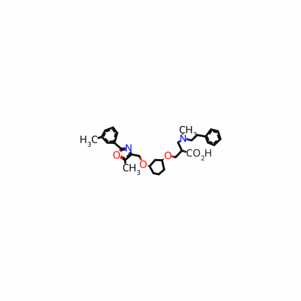 Cc1cccc(-c2nc(CO[C@H]3CCC[C@@H](OCC(CN(C)CCc4ccccc4)C(=O)O)C3)c(C)o2)c1